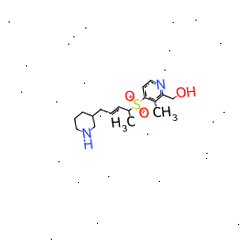 Cc1c(S(=O)(=O)C(C)C=CCC2CCCNC2)ccnc1CO